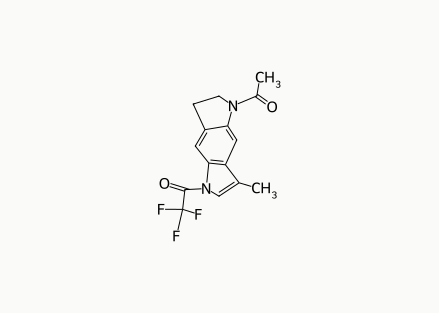 CC(=O)N1CCc2cc3c(cc21)c(C)cn3C(=O)C(F)(F)F